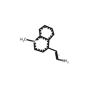 C[n+]1ccc(/C=C/N)c2ccccc21